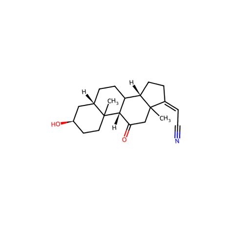 CC12CC(=O)[C@H]3C(CC[C@H]4C[C@H](O)CCC43C)[C@@H]1CC/C2=C/C#N